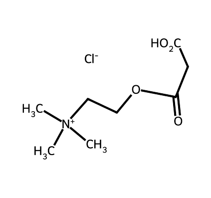 C[N+](C)(C)CCOC(=O)CC(=O)O.[Cl-]